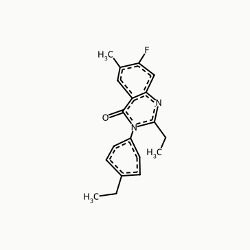 CCc1ccc(-n2c(CC)nc3cc(F)c(C)cc3c2=O)cc1